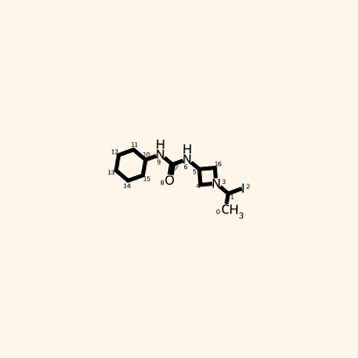 CC(I)N1CC(NC(=O)NC2CCCCC2)C1